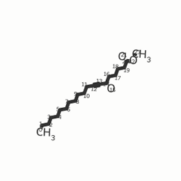 CCCCCCCCCCCCC#CC(=O)CCCCC(=O)OC